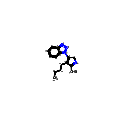 O=CC1=NCC(n2nnc3ccccc32)=C1CCCC(F)(F)F